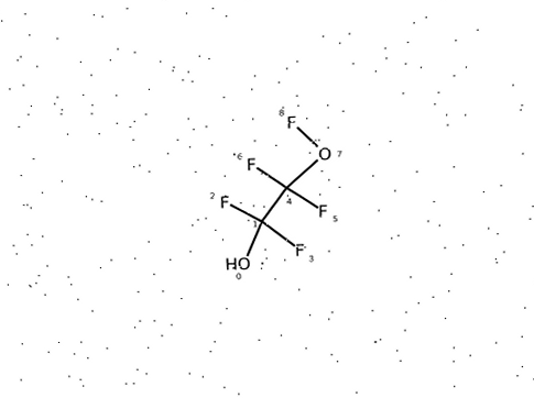 OC(F)(F)C(F)(F)OF